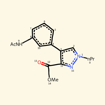 CCCn1cc(-c2cccc(NC(C)=O)c2)c(C(=O)OC)n1